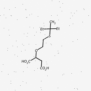 CCC(C)(CC)SCCOC(CC(=O)O)C(=O)O